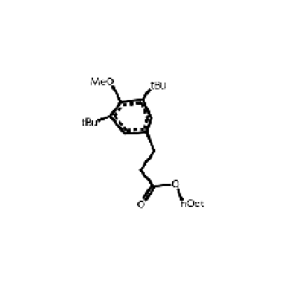 CCCCCCCCOC(=O)CCc1cc(C(C)(C)C)c(OC)c(C(C)(C)C)c1